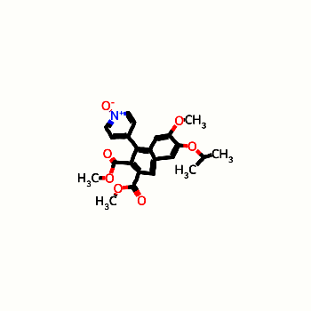 COC(=O)c1cc2cc(OC(C)C)c(OC)cc2c(-c2cc[n+]([O-])cc2)c1C(=O)OC